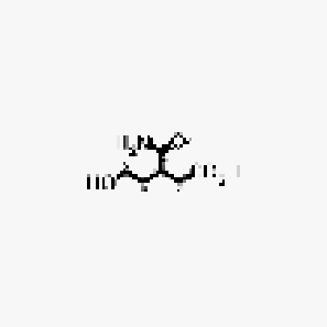 NC(=O)C(CCO)CC(=O)O